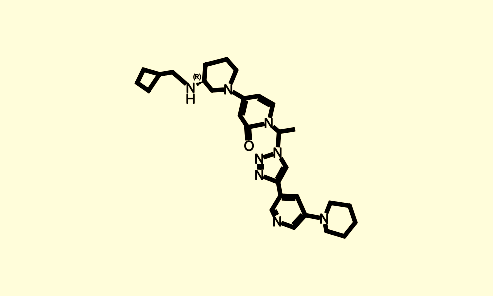 CC(n1cc(-c2cncc(N3CCCCC3)c2)nn1)n1ccc(N2CCC[C@@H](NCC3CCC3)C2)cc1=O